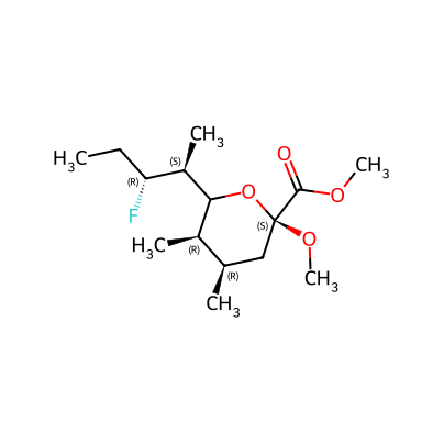 CC[C@@H](F)[C@@H](C)C1O[C@](OC)(C(=O)OC)C[C@@H](C)[C@H]1C